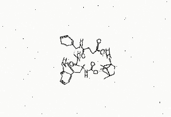 CC1(C)[C@H]2CCC1(C)[C@H](OC(=O)N[C@](C)(Cc1c[nH]c3ccccc13)C(=O)NC[C@@H](NC(=O)CCC(=O)O)c1ccccc1)C2